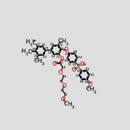 COCCOCCOCC(=O)Oc1cc(-c2cc(C)c(C)c(C)c2)cc(C)c1Oc1ccc(S(=O)(=O)c2ccc(OC)cc2)cc1